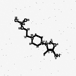 Cc1c([NH-])on[n+]1N1CCN(CCO[N+](=O)[O-])CC1